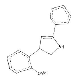 COc1ccccc1C1C=C(c2ccccc2)NC1